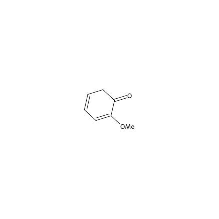 COC1=CC=CCC1=O